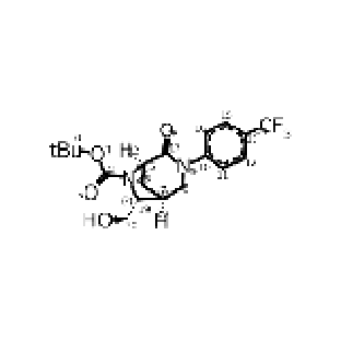 CC(C)(C)OC(=O)N1[C@@H]2C[C@@H](CN(c3ccc(C(F)(F)F)cc3)C2=O)[C@@H]1CO